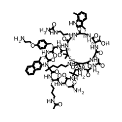 CC(=O)NCCCC[C@H](NC(=O)C(C)(CCCCN)NC(=O)[C@H](Cc1ccc2ccccc2c1)NC(=O)[C@H](Cc1ccc(OCCN)cc1)NC(=O)[C@H]1NC(=O)[C@H](CCCNC(N)=O)NC(=O)[C@H](Cc2c[nH]c3c(C)cccc23)NC(=O)[C@H]([C@@H](C)O)NC(=O)[C@H](CC(N)=O)NC(=O)[C@@H](NC(C)=O)C(C)(C)SSC1(C)C)C(=O)N[C@@H](CC(N)=O)C(=O)NC(C)(C)C(N)=O